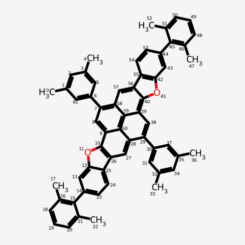 Cc1cc(C)cc(-c2cc3c4oc5cc(-c6c(C)cccc6C)ccc5c4cc4c(-c5cc(C)cc(C)c5)cc5c6oc7cc(-c8c(C)cccc8C)ccc7c6cc2c5c43)c1